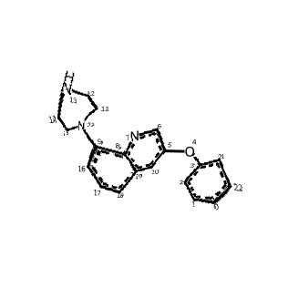 c1ccc(Oc2cnc3c(N4CCNCC4)cccc3c2)cc1